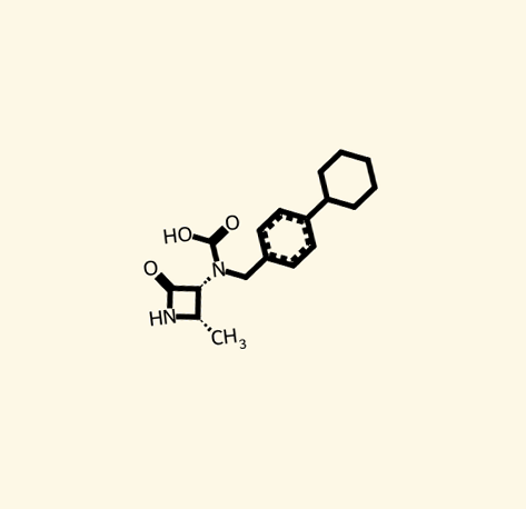 C[C@@H]1NC(=O)[C@@H]1N(Cc1ccc(C2CCCCC2)cc1)C(=O)O